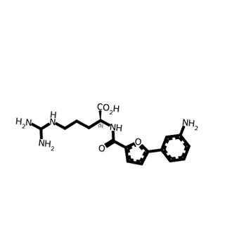 Nc1cccc(-c2ccc(C(=O)N[C@@H](CCCNC(N)N)C(=O)O)o2)c1